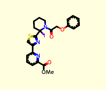 COC(=O)c1cccc(-c2csc(C3(I)CCCCN3C(=O)COc3ccccc3)n2)n1